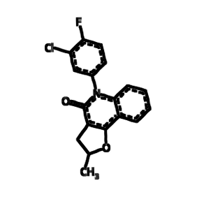 CC1Cc2c(c3ccccc3n(-c3ccc(F)c(Cl)c3)c2=O)O1